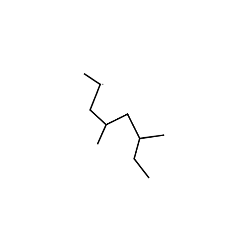 C[CH]CC(C)CC(C)CC